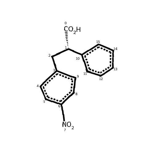 O=C(O)[C@@H](Cc1ccc([N+](=O)[O-])cc1)c1ccccc1